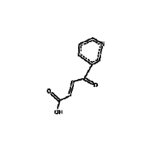 O=C(O)C=CC(=O)c1cccnc1